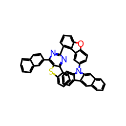 c1ccc2cc(-c3nc(-c4cccc5oc6ccc(-n7c8ccccc8c8cc9ccccc9cc87)cc6c45)nc4c3sc3ccccc34)ccc2c1